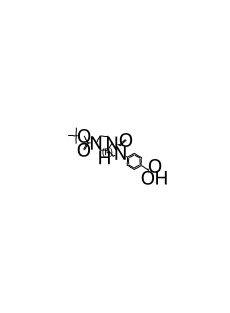 CC(C)(C)OC(=O)N1CCN2C(=O)N(c3ccc(C(=O)O)cc3)C[C@@H]2C1